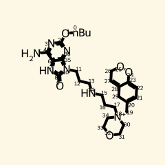 CCCCOc1nc(N)c2[nH]c(=O)n(CCCNCCC[N+]3(CC4=CC=C5OOCC=C5C4)CCOCC3)c2n1